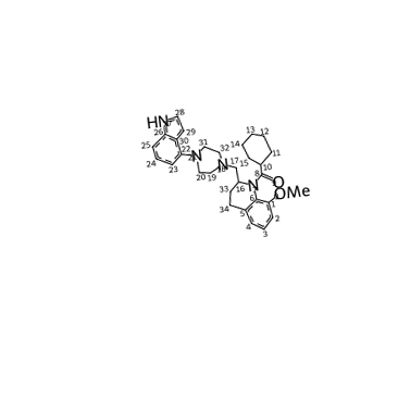 COc1cccc2c1N(C(=O)C1CCCCC1)C(CN1CCN(c3cccc4[nH]ccc34)CC1)CC2